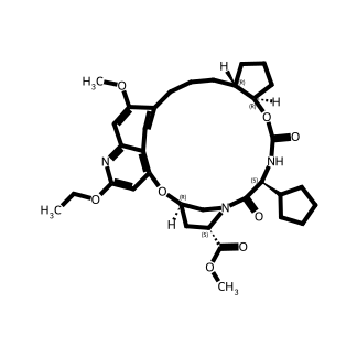 CCOc1cc2c3cc(c(OC)cc3n1)CCC[C@@H]1CCC[C@H]1OC(=O)N[C@@H](C1CCCC1)C(=O)N1C[C@@H](C[C@H]1C(=O)OC)O2